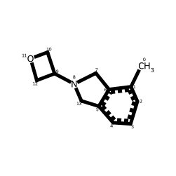 Cc1cccc2c1CN(C1COC1)C2